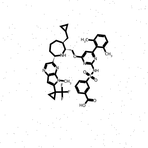 Cc1cccc(C)c1-c1cc(OC[C@@H]2N[C@H](c3cnc4cc(C5(C(F)(F)F)CC5)n(C)c4n3)CCC[C@H]2CC2CC2)nc(NS(=O)(=O)c2cccc(C(=O)O)c2)n1